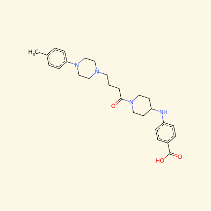 Cc1ccc(N2CCN(CCCC(=O)N3CCC(Nc4ccc(C(=O)O)cc4)CC3)CC2)cc1